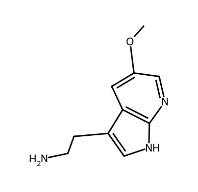 COc1cnc2[nH]cc(CCN)c2c1